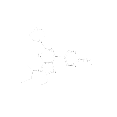 CCC(C)n1c(SC)nc2c(-c3cnc(N)nc3)nc(N3CCOCC3)nc21